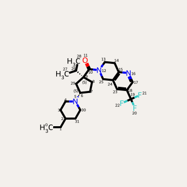 CCC1CCN([C@H]2CC[C@@](C(=O)N3CCc4ncc(C(F)(F)F)cc4C3)(C(C)C)C2)CC1